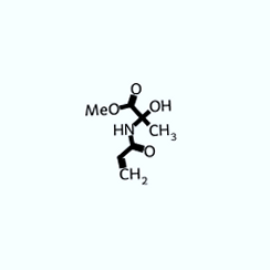 C=CC(=O)NC(C)(O)C(=O)OC